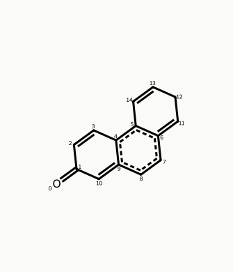 O=C1C=Cc2c3c(ccc2=C1)=CCC=C3